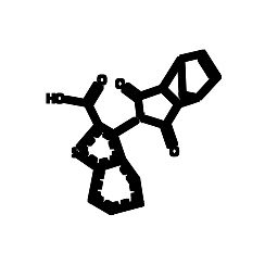 O=C(O)c1sc2ccccc2c1N1C(=O)C2C3C=CC(C3)C2C1=O